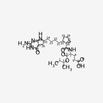 CCC(C)OC(=O)C(CCC(=O)O)NC(=O)c1sccc1CCCCc1cc2c(=O)[nH]c(N)nc2[nH]1